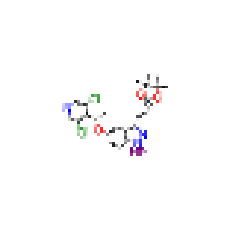 CC(Oc1ccc2c(c1)c(/C=C/B1OC(C)(C)C(C)(C)O1)nn2PI)c1c(Cl)cncc1Cl